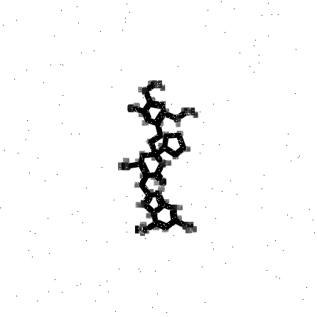 COc1cc(OC)c(CCC2(C3CCCC3)CC(O)=C(Cc3nc4nc(C)cc(C)n4n3)C(=O)O2)cc1Cl